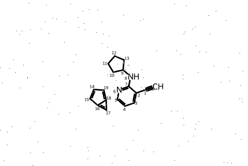 C#Cc1cccnc1NC1CCCC1.c1cc2cc-2c1